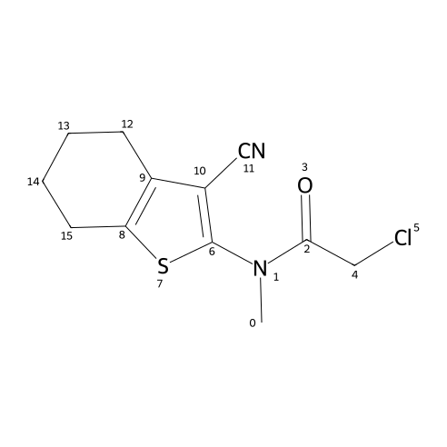 CN(C(=O)CCl)c1sc2c(c1C#N)CCCC2